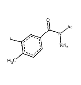 CC(=O)N(N)C(=O)c1ccc(C)c(I)c1